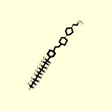 CCC[C@H]1CC[C@H](C2CCC(CCc3ccc(C(F)(F)C(F)(F)C(F)(F)C(F)(F)C(F)(F)C(F)(F)C(F)(F)C(F)(F)C(F)(F)F)cc3)CC2)CC1